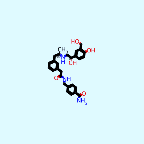 C[C@H](Cc1cccc(CC(=O)NCc2ccc(C(N)=O)cc2)c1)NC[C@@H](O)c1ccc(O)c(CO)c1